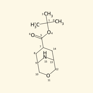 CC(C)(C)OC(=O)C1CC2COCC(C1)N2